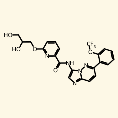 O=C(Nc1cnc2ccc(-c3ccccc3OC(F)(F)F)nn12)c1cccc(OCC(O)CO)n1